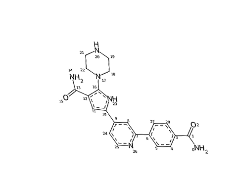 NC(=O)c1ccc(-c2cc(-c3cc(C(N)=O)c(N4CCNCC4)[nH]3)ccn2)cc1